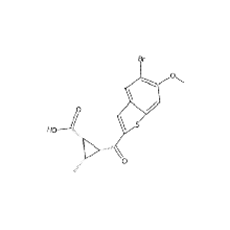 COc1cc2sc(C(=O)[C@@H]3[C@H](C)[C@@H]3C(=O)O)cc2cc1Br